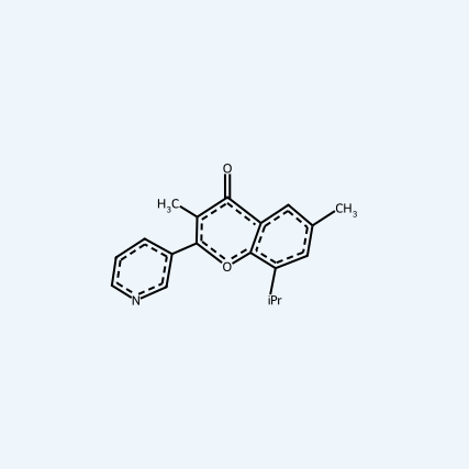 Cc1cc(C(C)C)c2oc(-c3cccnc3)c(C)c(=O)c2c1